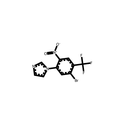 O=[N+]([O-])c1cc(C(F)(F)F)c(Br)cc1-n1ccnc1